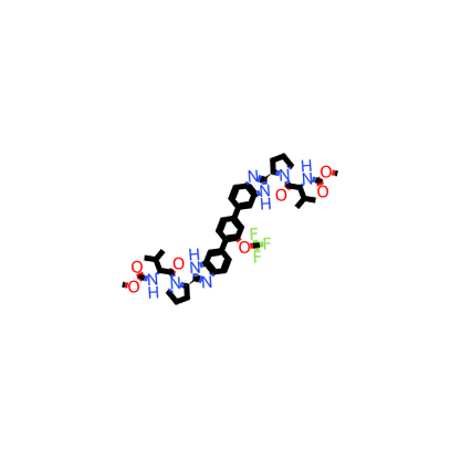 COC(=O)N[C@H](C(=O)N1CCC[C@H]1c1nc2ccc(-c3ccc(-c4ccc5nc([C@@H]6CCCN6C(=O)[C@@H](NC(=O)OC)C(C)C)[nH]c5c4)c(OC(F)(F)F)c3)cc2[nH]1)C(C)C